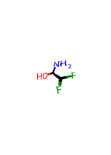 NC(O)C(F)F